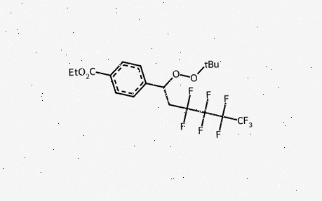 CCOC(=O)c1ccc(C(CC(F)(F)C(F)(F)C(F)(F)C(F)(F)F)OOC(C)(C)C)cc1